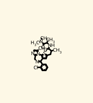 Cc1cnc2n1-c1sc(CC(C)C(=O)NC(C)C(=O)N(C)C)cc1C(c1ccccc1Cl)=NC2